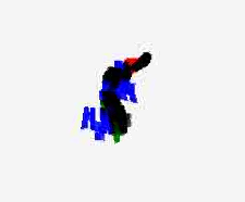 C#CCOc1cnc2c(Nc3cnc(F)c([C@@]4(C)N=C(N)S[C@](C)(CF)[C@H]4C)c3)nccc2n1